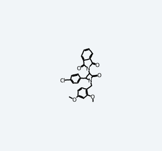 COc1ccc(CN2C(=O)C(N3C(=O)c4ccccc4C3=O)C2c2ccc(Cl)cc2)c(OC)c1